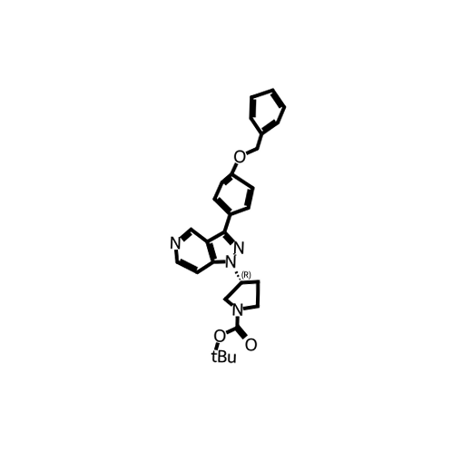 CC(C)(C)OC(=O)N1CC[C@@H](n2nc(-c3ccc(OCc4ccccc4)cc3)c3cnccc32)C1